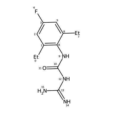 CCc1cc(F)cc(CC)c1NC(=O)NC(=N)N